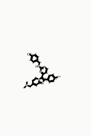 CN(C)Cc1ccn2c(-c3ccnc(NCc4ccc(Cl)cc4)n3)c(-c3ccc(F)cc3)nc2c1